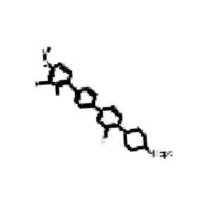 CCCCCCCC1CCC(c2ccc(-c3ccc(-c4ccc(OCCC)c(F)c4F)cc3)cc2F)CC1